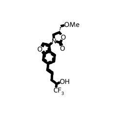 COC[C@H]1CN(c2coc3cc(/C=C/CC(O)C(F)(F)F)ccc23)C(=O)O1